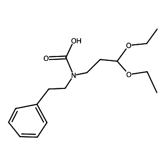 CCOC(CCN(CCc1ccccc1)C(=O)O)OCC